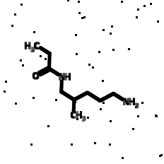 CCC(=O)NCC(C)CCCN